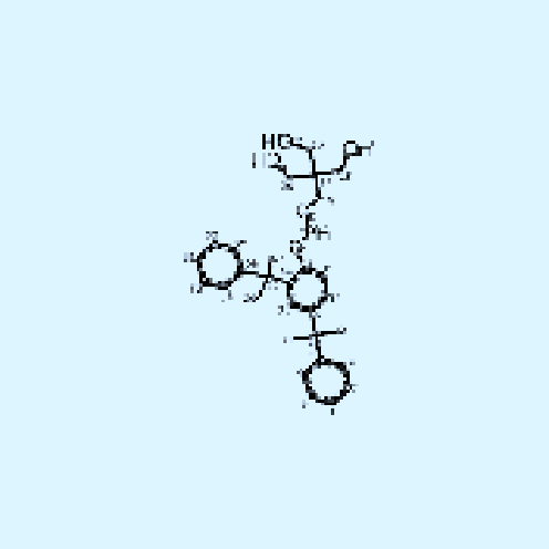 CC(C)(c1ccccc1)c1ccc(OPOCC(CO)(CO)CO)c(C(C)(C)c2ccccc2)c1